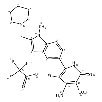 CCc1c(-c2ccc3c(c2)cc(CN2CCCCC2)n3C)[nH]c(=O)c(C(=O)O)c1N.O=C(O)C(F)(F)F